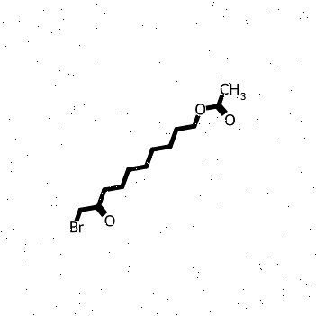 CC(=O)OCCCCCCCCC(=O)CBr